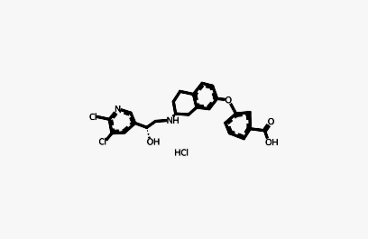 Cl.O=C(O)c1cccc(Oc2ccc3c(c2)C[C@@H](NC[C@H](O)c2cnc(Cl)c(Cl)c2)CC3)c1